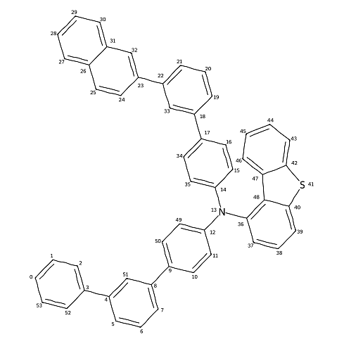 c1ccc(-c2cccc(-c3ccc(N(c4ccc(-c5cccc(-c6ccc7ccccc7c6)c5)cc4)c4cccc5sc6ccccc6c45)cc3)c2)cc1